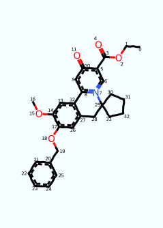 CCOC(=O)c1cn2c(cc1=O)-c1cc(OC)c(OCc3ccccc3)cc1CC21CCCC1